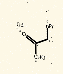 CCCCC(=O)C=O.[Gd]